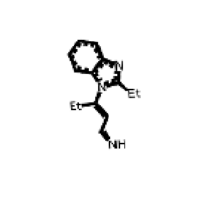 CC/C(=C\C=N)n1c(CC)nc2ccccc21